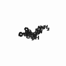 C[C@H](NP(=O)(OC[C@H]1O[C@@H](n2cnc3c(N)ncnc32)C[C@H]1O)Oc1ccccc1)C(=O)OCc1ccccc1